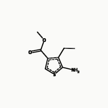 CCc1c(C(=O)OC)csc1N